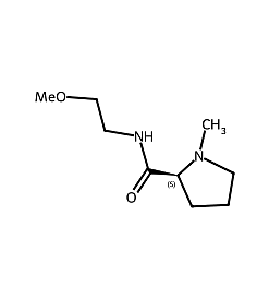 COCCNC(=O)[C@@H]1CCCN1C